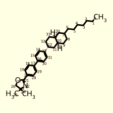 CCCCCCCC1CC[C@@H]2C[C@H](c3ccc(-c4ccc(C5=NC(C)(C)CO5)cc4)cc3)CC[C@@H]2C1